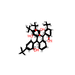 CC(C)(C)c1ccc(C(c2ccc(C(C)(C)C)cc2O)c2ccccc2C(c2ccc(C(C)(C)C)cc2O)c2cc(C(C)(C)C)ccc2O)c(O)c1